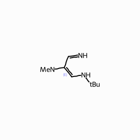 CN/C(C=N)=C/NC(C)(C)C